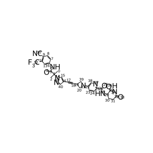 CC(C)(C(=O)Nc1ccc(C#N)c(C(F)(F)F)c1)n1cc(C#CC2CN(c3ccc(C(=O)NC4CCC(=O)NC4=O)nc3)C2)cn1